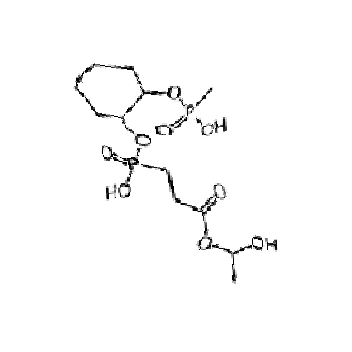 CC(O)OC(=O)CCP(=O)(O)OC1CCCCC1OP(C)(=O)O